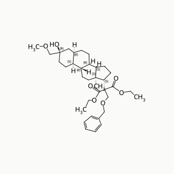 CCOC(=O)C(COCc1ccccc1)(C(=O)OCC)[C@H]1CC[C@H]2[C@@H]3CC[C@@H]4C[C@@](O)(COC)CC[C@@H]4[C@H]3CC[C@]12C